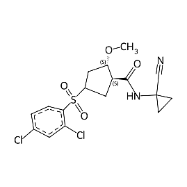 CO[C@H]1CC(S(=O)(=O)c2ccc(Cl)cc2Cl)C[C@@H]1C(=O)NC1(C#N)CC1